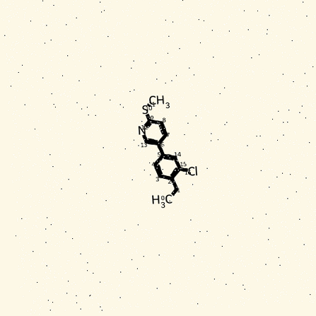 CCc1ccc(-c2ccc(SC)nc2)cc1Cl